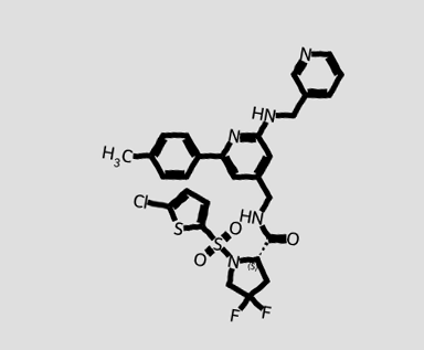 Cc1ccc(-c2cc(CNC(=O)[C@@H]3CC(F)(F)CN3S(=O)(=O)c3ccc(Cl)s3)cc(NCc3cccnc3)n2)cc1